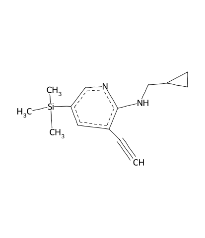 C#Cc1cc([Si](C)(C)C)cnc1NCC1CC1